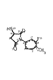 Cc1ccc(N2C(=O)CC(S)C2=O)cc1F